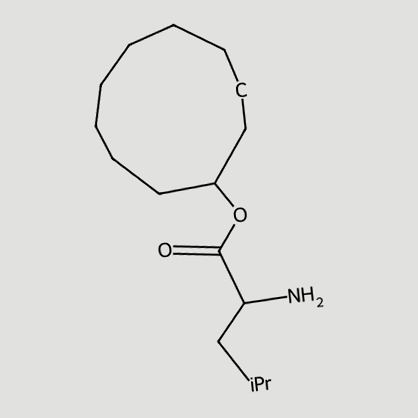 CC(C)CC(N)C(=O)OC1CCCCCCCCC1